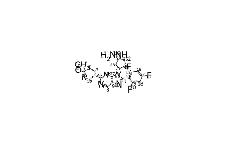 COc1ccc(-c2ncc3nc(-c4c(F)cc(F)cc4F)n(C4CCCC4)c3n2)cn1.NN